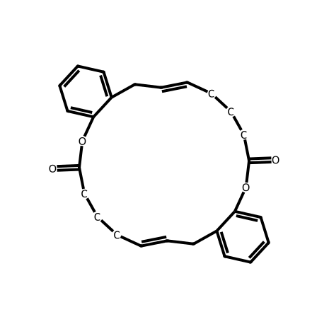 O=C1CCC/C=C/Cc2ccccc2OC(=O)CCC/C=C/Cc2ccccc2O1